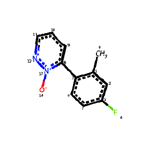 Cc1cc(F)ccc1-c1cccn[n+]1[O-]